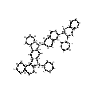 c1ccc(-c2nc3ccccc3nc2-c2ccc3cc(-n4c5ccccc5c5cc6c7c8ccccc8ccc7n(-c7ccccc7)c6cc54)ccc3c2)cc1